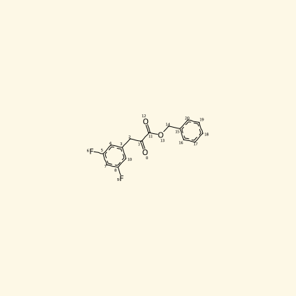 O=C(Cc1cc(F)cc(F)c1)C(=O)OCc1ccccc1